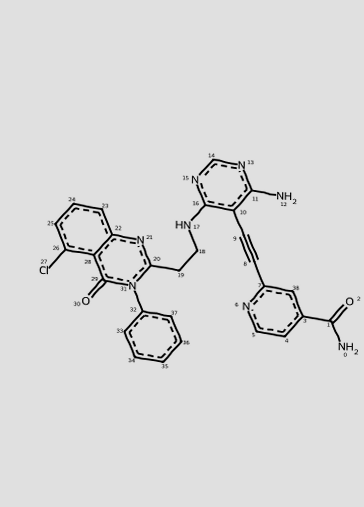 NC(=O)c1ccnc(C#Cc2c(N)ncnc2NCCc2nc3cccc(Cl)c3c(=O)n2-c2ccccc2)c1